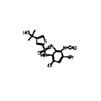 CC(C)c1cc(Cl)c(NS(=O)(=O)c2cc(C(C)(C)O)cs2)c(C(C)C)c1N=C=O